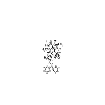 CCN(CCC(c1ccccc1)c1ccccc1)CC(CC)(CC)OC(=O)C1=C(C)NC(C)=C(C(=O)OC)[C@H]1c1cccc([N+](=O)[O-])c1